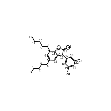 CCCCCc1cc(CCCCC)c2c(c1)C(c1cc(C)cc(C)c1)C(=O)O2